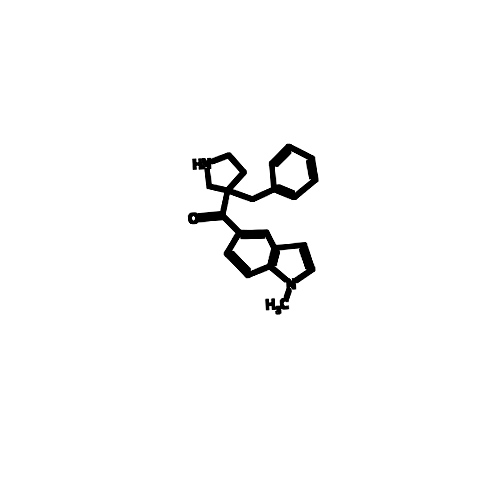 Cn1ccc2cc(C(=O)C3(Cc4ccccc4)CCNC3)ccc21